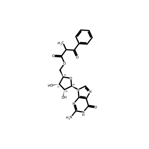 CC(C(=O)OC[C@H]1O[C@@H](n2cnc3c(=O)[nH]c(N)nc32)[C@H](O)[C@@H]1O)C(=O)c1ccccc1